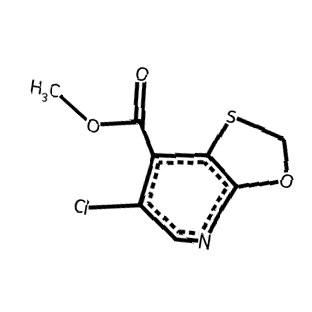 COC(=O)c1c(Cl)cnc2c1SCO2